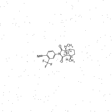 C[C@]12CC[C@@](C)(O1)[C@H]1C(=O)N(c3ccc(C#N)c(C(F)(F)F)c3)C(=O)[C@@H]12